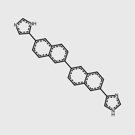 c1nc(-c2ccc3cc(-c4ccc5cc(-c6cnc[nH]6)ccc5c4)ccc3c2)c[nH]1